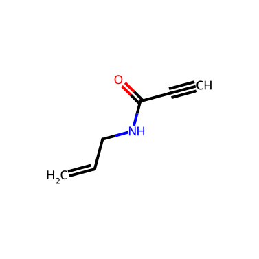 C#CC(=O)NCC=C